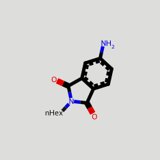 CCCCCCN1C(=O)c2ccc(N)cc2C1=O